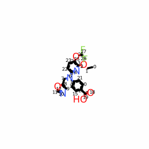 CCOc1nc(N(Cc2cnco2)c2ccc(C(=O)O)cc2)ccc1OC(F)F